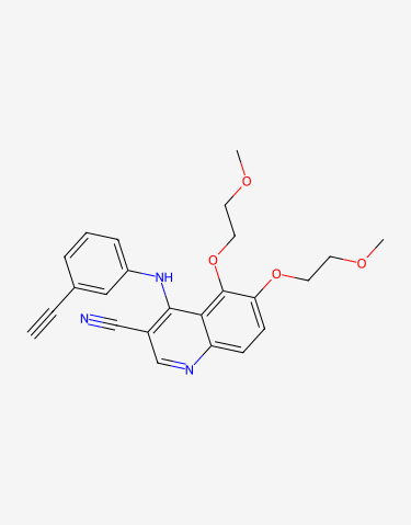 C#Cc1cccc(Nc2c(C#N)cnc3ccc(OCCOC)c(OCCOC)c23)c1